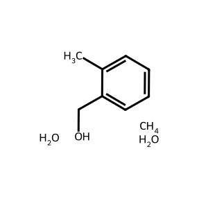 C.Cc1ccccc1CO.O.O